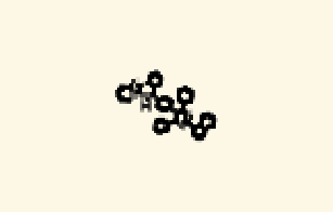 c1ccc(-c2nc(-c3cccc4ccccc34)nc(-c3ccccc3)c2-c2ccc(C3Nc4c(nc5ccccn45)-c4ccccc43)cc2)cc1